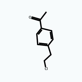 CC(=O)c1ccc(CCCl)cc1